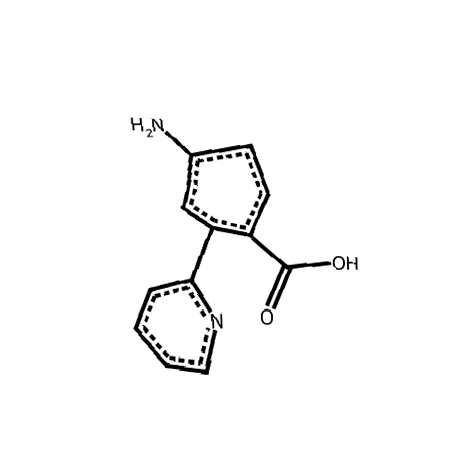 Nc1ccc(C(=O)O)c(-c2ccccn2)c1